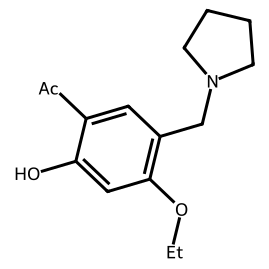 CCOc1cc(O)c(C(C)=O)cc1CN1CCCC1